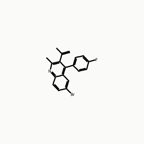 C=C(C)c1c(C)nc2ccc(Br)cc2c1-c1ccc(F)cc1